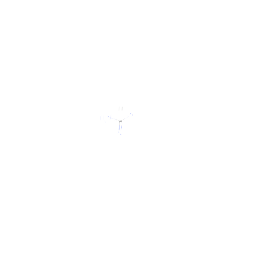 N=C(N)N.[H]